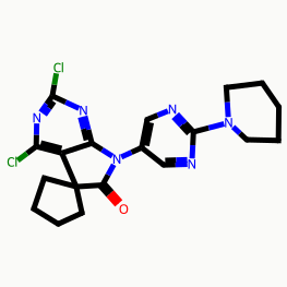 O=C1N(c2cnc(N3CCCCC3)nc2)c2nc(Cl)nc(Cl)c2C12CCCC2